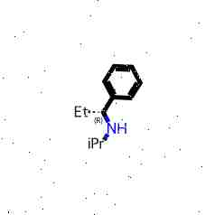 CC[C@@H](NC(C)C)c1ccccc1